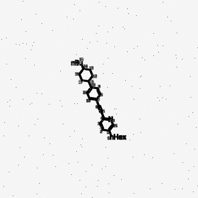 CCCCCCc1ccc(C#Cc2ccc(C3CCC(CCCC)CC3)cc2)nc1